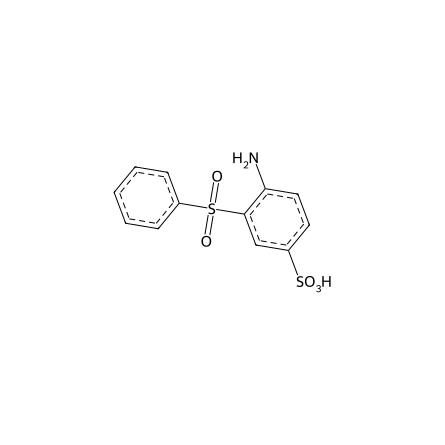 Nc1ccc(S(=O)(=O)O)cc1S(=O)(=O)c1ccccc1